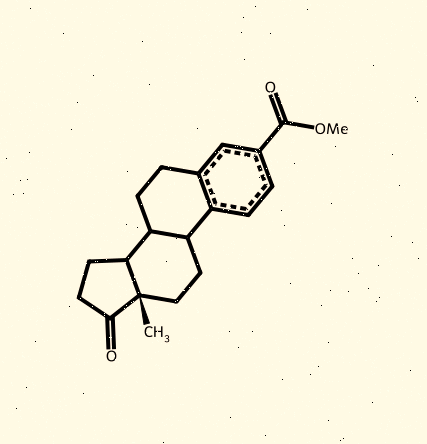 COC(=O)c1ccc2c(c1)CCC1C2CC[C@]2(C)C(=O)CCC12